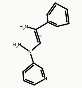 N/C(=C\N(N)c1cccnc1)c1ccccc1